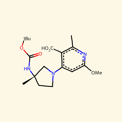 COc1cc(N2CC[C@](C)(NC(=O)OC(C)(C)C)C2)c(C(=O)O)c(C)n1